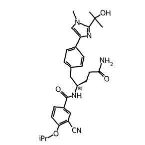 CC(C)Oc1ccc(C(=O)N[C@H](CCC(N)=O)Cc2ccc(-c3cn(C)c(C(C)(C)O)n3)cc2)cc1C#N